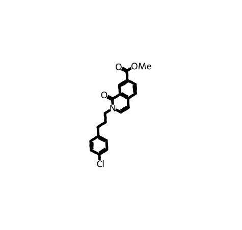 COC(=O)c1ccc2ccn(CCCc3ccc(Cl)cc3)c(=O)c2c1